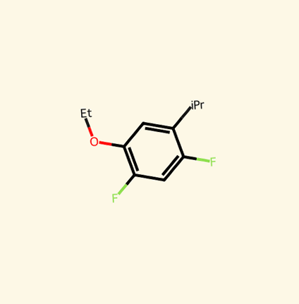 CCOc1cc(C(C)C)c(F)cc1F